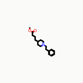 COC(=O)CCCC1CCN(CCc2ccccc2)CC1